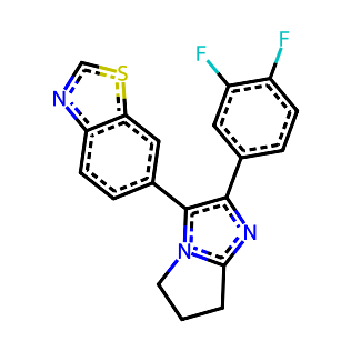 Fc1ccc(-c2nc3n(c2-c2ccc4ncsc4c2)CCC3)cc1F